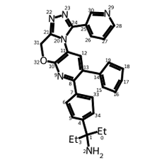 CCC(N)(CC)c1ccc(-c2nc3c(cc2-c2ccccc2)-n2c(nnc2-c2cccnc2)CO3)cc1